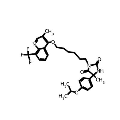 Cc1cnc2c(C(F)(F)F)cccc2c1OCCCCCCN1C(=O)NC(C)(c2ccc(OC(C)C)cc2)C1=O